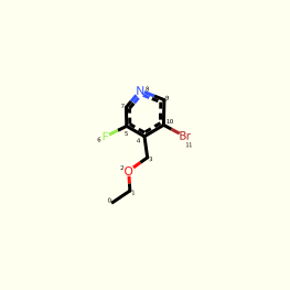 CCOCc1c(F)cncc1Br